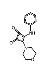 O=c1c(Nc2ccccc2)c(N2CCOCC2)c1=O